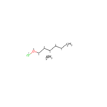 CCCCCCOCl.[AlH3]